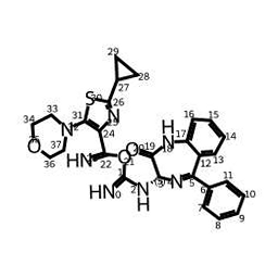 N=C(N[C@H]1N=C(c2ccccc2)c2ccccc2NC1=O)OC(=N)c1nc(C2CC2)sc1N1CCOCC1